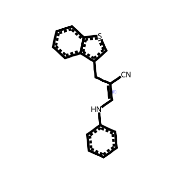 N#C/C(=C/Nc1ccccc1)Cc1csc2ccccc12